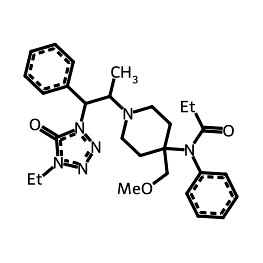 CCC(=O)N(c1ccccc1)C1(COC)CCN(C(C)C(c2ccccc2)n2nnn(CC)c2=O)CC1